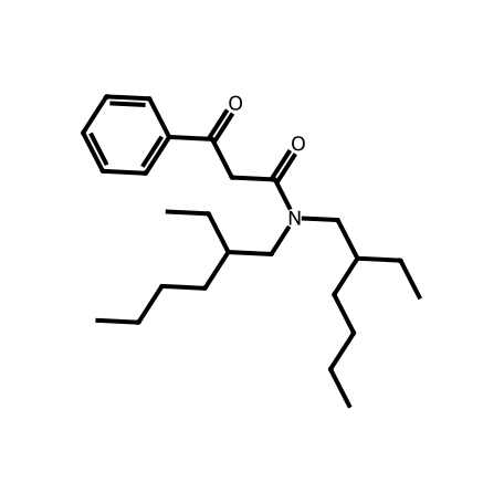 CCCCC(CC)CN(CC(CC)CCCC)C(=O)CC(=O)c1ccccc1